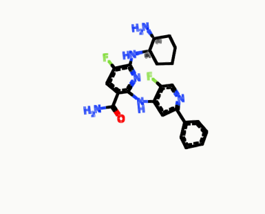 NC(=O)c1cc(F)c(N[C@@H]2CCCC[C@@H]2N)nc1Nc1cc(-c2ccccc2)ncc1F